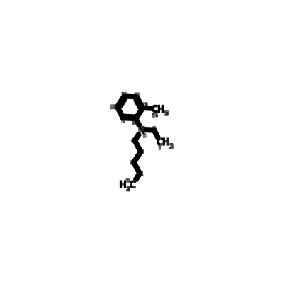 CCCCCN(CC)c1ccccc1C